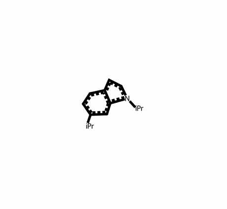 CC(C)c1ccc2ccn(C(C)C)c2c1